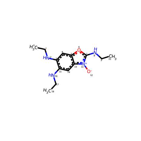 CCNc1cc2oc(NCC)[n+]([O-])c2cc1NCC